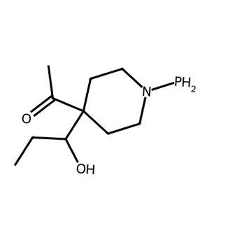 CCC(O)C1(C(C)=O)CCN(P)CC1